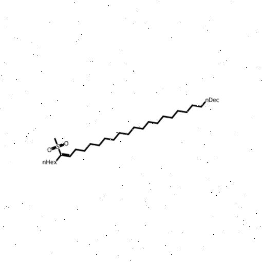 CCCCCCCCCCCCCCCCCCCCCCCCCCCCC=C(CCCCCC)S(C)(=O)=O